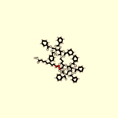 CC(=O)OC(CCOC(O)/C(OC(=O)c1ccccc1)=C(/OC(=O)c1ccccc1)C(CCOC(=O)c1ccccc1)OC(=O)c1ccccc1)C(OC(O)/C(OC(=O)c1ccccc1)=C(/OC(=O)c1ccccc1)C(CCOC(=O)c1ccccc1)OC(=O)c1ccccc1)C(OC(C)=O)C(O)OCCCCCCCCC(=O)O